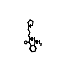 Nc1ccccc1C(=O)NCCCN1CCCC1